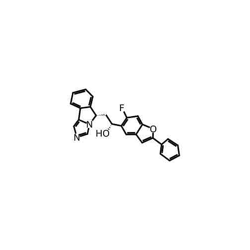 O[C@H](C[C@H]1c2ccccc2-c2cncn21)c1cc2cc(-c3ccccc3)oc2cc1F